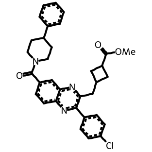 COC(=O)C1CC(Cc2nc3cc(C(=O)N4CCC(c5ccccc5)CC4)ccc3nc2-c2ccc(Cl)cc2)C1